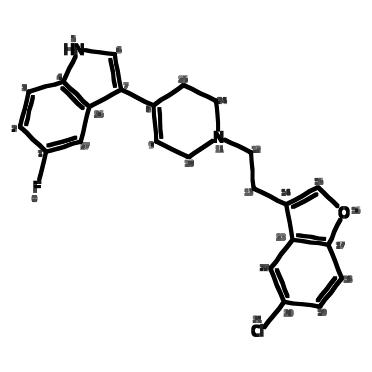 Fc1ccc2[nH]cc(C3=CCN(CCc4coc5ccc(Cl)cc45)CC3)c2c1